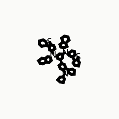 c1ccc(-n2c3ccccc3c3cc(-c4cc(N(c5ccc6ccccc6c5)c5ccc6sc7ccccc7c6c5)cc(N(c5ccc6ccccc6c5)c5ccc6sc7ccccc7c6c5)c4)ccc32)cc1